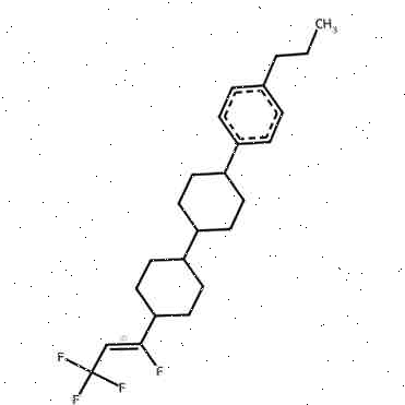 CCCc1ccc(C2CCC(C3CCC(/C(F)=C/C(F)(F)F)CC3)CC2)cc1